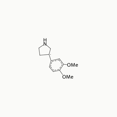 COc1ccc([C]2CCNC2)cc1OC